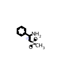 CS(=O)(=O)/C=C(\N)c1ccccc1